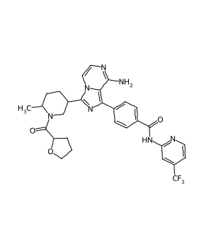 CC1CCC(c2nc(-c3ccc(C(=O)Nc4cc(C(F)(F)F)ccn4)cc3)c3c(N)nccn23)CN1C(=O)C1CCCO1